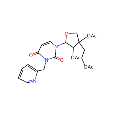 CC(=O)OCCC1(OC(C)=O)COC(n2ccc(=O)n(Cc3ccccn3)c2=O)C1OC(C)=O